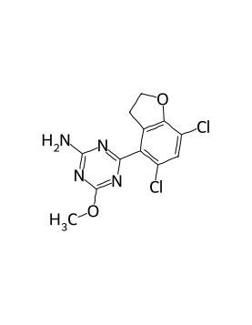 COc1nc(N)nc(-c2c(Cl)cc(Cl)c3c2CCO3)n1